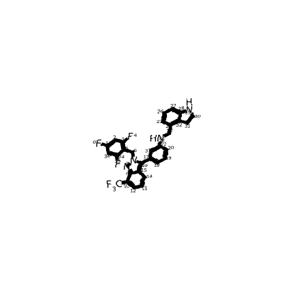 Fc1cc(F)c(Cn2nc3c(C(F)(F)F)cccc3c2-c2cccc(NCc3cccc4[nH]ccc34)c2)c(F)c1